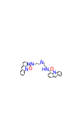 CN(CCCNC(=O)c1cccc2cc3ccccc3nc12)CCCNC(=O)c1cccc2cc3ccccc3nc12